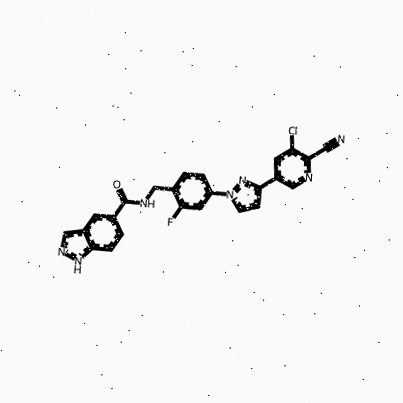 N#Cc1ncc(-c2ccn(-c3ccc(CNC(=O)c4ccc5[nH]ncc5c4)c(F)c3)n2)cc1Cl